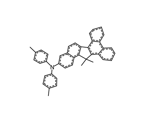 Cc1ccc(N(c2ccc(C)cc2)c2ccc3c4c(ccc3c2)-c2c(c3ccccc3c3ccccc23)C4(C)C)cc1